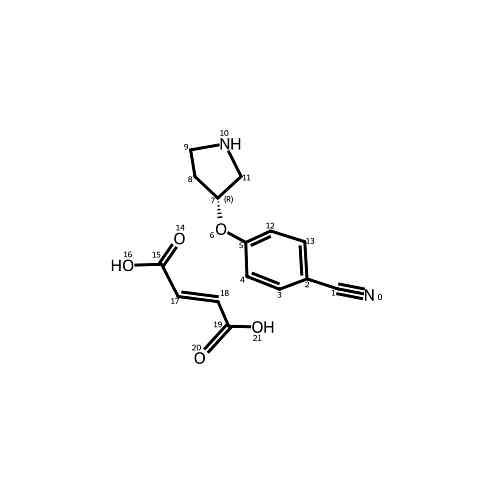 N#Cc1ccc(O[C@@H]2CCNC2)cc1.O=C(O)C=CC(=O)O